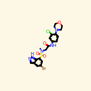 CN(CC(=O)Nc1ccc(N2CCOCC2)c(Cl)c1)S(=O)(=O)c1cc(Br)cc2cn[nH]c12